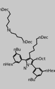 CCCCCCCCCCCCCCCC1=C(c2cc(CCCC)cc(CCCCCC)c2)[N+](=[N-])C(c2cc(CCCC)cc(CCCCCC)c2)=C1CCCCCCCC.CCCCCCCCCCCCC[CH2][Ni][CH2]CCCCCCCCCCCCC